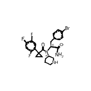 NC(=O)[C@H](Cc1ccc(Br)cc1)N(C(=O)C1(c2cc(F)c(F)cc2F)CC1)[C@@H]1CCCNC1